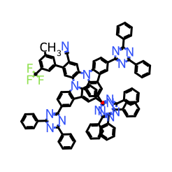 Cc1cc(-c2cc(-n3c4ccc(-c5nc(-c6ccccc6)nc(-c6ccccc6)n5)cc4c4cc(-c5nc(-c6ccccc6)nc(-c6ccccc6)n5)ccc43)c(-n3c4ccc(-c5nc(-c6ccccc6)nc(-c6ccccc6)n5)cc4c4cc(-c5nc(-c6ccccc6)nc(-c6ccccc6)n5)ccc43)cc2C#N)cc(C(F)(F)F)c1